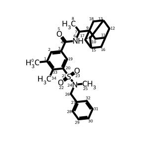 Cc1cc(C(=O)NC(C)C23CC4CC(CC(C4)C2)C3)cc(S(=O)(=O)N(C)Cc2ccccc2)c1C